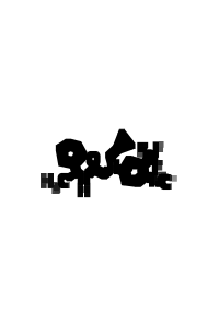 [C-]#[N+]c1ccc(N(CC(=O)N[C@@H](C)c2ccccc2)CC2CC2)cc1C(F)(F)F